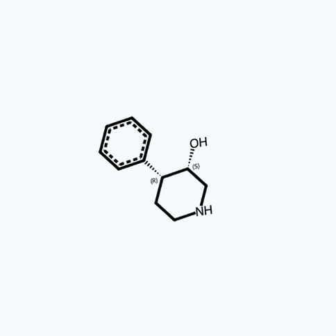 O[C@@H]1CNCC[C@@H]1c1ccccc1